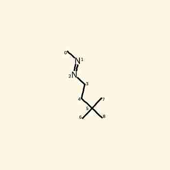 CN=NCCC(C)(C)C